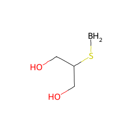 BSC(CO)CO